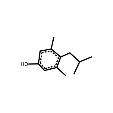 Cc1cc(O)cc(C)c1CC(C)C